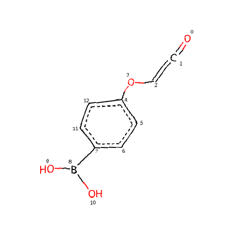 O=C=COc1ccc(B(O)O)cc1